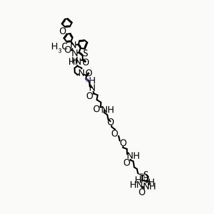 Cc1cc(Oc2ccccc2)ccc1N1C(=O)Nc2c(C(=O)NC3CCCN(C(=O)/C=C/CNC(=O)CCCC(=O)NCCCOCCOCCOCCCNC(=O)CCCC[C@H]4SC[C@@H]5NC(=O)N[C@@H]54)C3)sc3cccc1c23